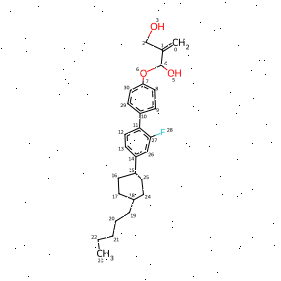 C=C(CO)C(O)Oc1ccc(-c2ccc(C3CCC(CCCCC)CC3)cc2F)cc1